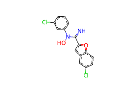 N=C(c1cc2cc(Cl)ccc2o1)N(O)c1cccc(Cl)c1